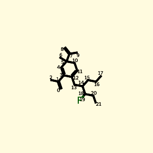 C=C(C)C1=CC(C)(C(=C)C)CC=C1CC(CCC)C(F)CC